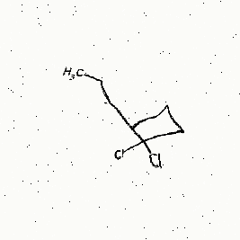 CC[CH]C1CCC1(Cl)Cl